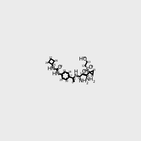 C=C(N[C@H](N)/C=C(\N)C1(S(=O)(=O)CCO)CC1)c1ccc(NC(=O)NC2CCC2)cc1